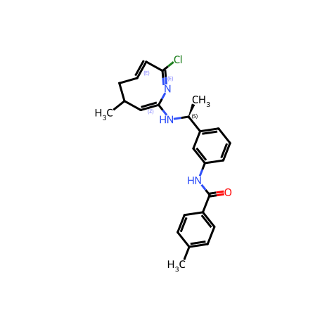 Cc1ccc(C(=O)Nc2cccc([C@H](C)NC3=C/C(C)C/C=C/C(Cl)=N\3)c2)cc1